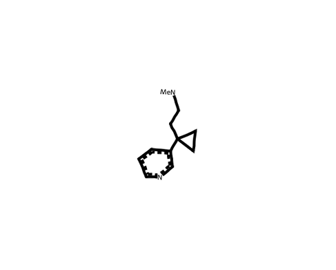 CNCCC1(c2cccnc2)CC1